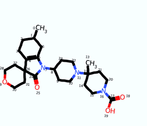 CC1CCC2=C(C1)N(C1CCN(C3(C)CCN(C(=O)O)CC3)CC1)C(=O)C21CCOCC1